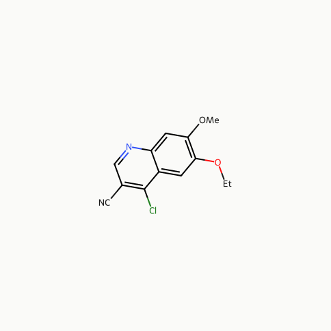 CCOc1cc2c(Cl)c(C#N)cnc2cc1OC